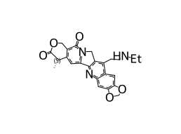 CCNCCc1c2c(nc3cc4c(cc13)OCO4)-c1cc3c(c(=O)n1C2)COC(=O)[C@H]3C